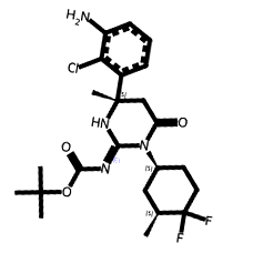 C[C@H]1C[C@@H](N2C(=O)C[C@@](C)(c3cccc(N)c3Cl)N/C2=N\C(=O)OC(C)(C)C)CCC1(F)F